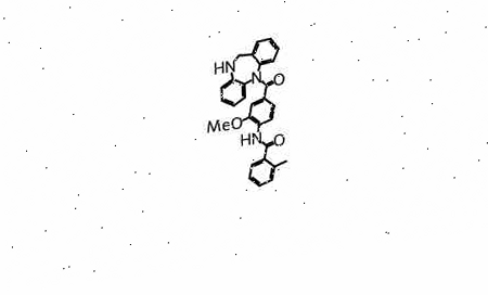 COc1cc(C(=O)N2c3ccccc3CNc3ccccc32)ccc1NC(=O)c1ccccc1C